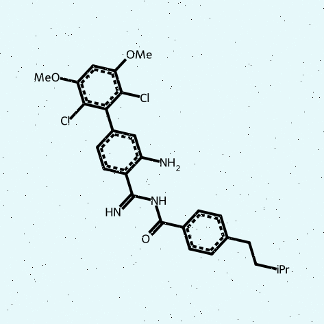 COc1cc(OC)c(Cl)c(-c2ccc(C(=N)NC(=O)c3ccc(CCC(C)C)cc3)c(N)c2)c1Cl